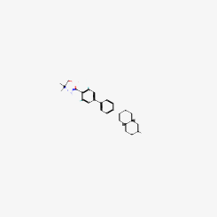 CCCC1CC[C@@H]2C[C@H](c3ccc(-c4cc(F)c(C5=NC(C)(C)CO5)c(F)c4)cc3)CC[C@@H]2C1